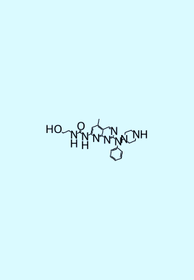 Cc1cc(NC(=O)NCCO)nc2nc(N(c3ccccc3)N3CCNCC3)ncc12